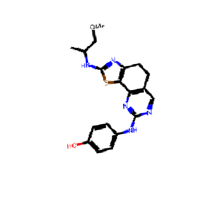 COCC(C)Nc1nc2c(s1)-c1nc(Nc3ccc(O)cc3)ncc1CC2